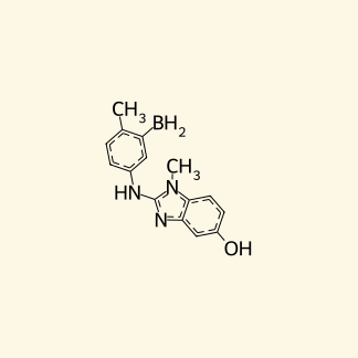 Bc1cc(Nc2nc3cc(O)ccc3n2C)ccc1C